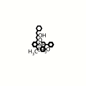 CC(C)c1cccc(CCC(O)CC2CCCCC2)c1NC(=O)CC1c2ccccc2Oc2ccccc21